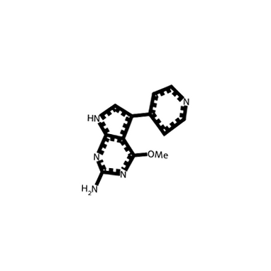 COc1nc(N)nc2[nH]cc(-c3ccncc3)c12